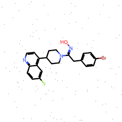 O/N=C(/Cc1ccc(Br)cc1)N1CCC(c2ccnc3ccc(F)cc23)CC1